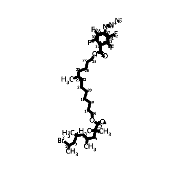 CC(Br)CC(C)CC(C)CC(C)(C)C(=O)OCCCCCCCC(C)CCCCOC(=O)c1c(F)c(F)c(N=[N+]=[N-])c(F)c1F